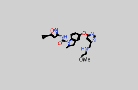 COCCNCc1cc(Oc2ccc3c(c2)CC(C)N3C(=O)Nc2cc(C3CC3)on2)ncn1